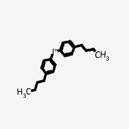 CCCCc1ccc([I+]c2ccc(CCCC)cc2)cc1